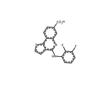 O=C(O)c1ccc2c(c1)nc(Nc1cccc(F)c1F)c1ccsc12